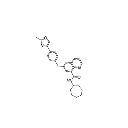 Cc1nc(-c2ccc(Cc3cc(C(=O)NC4CCCCCC4)c4ncccc4c3)cc2)co1